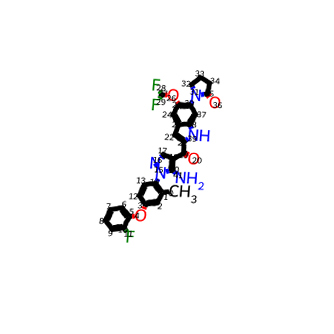 Cc1cc(Oc2ccccc2F)ccc1-n1ncc(C(=O)c2cc3cc(OC(F)F)c(N4CCCC4=O)cc3[nH]2)c1N